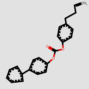 C=CCCc1ccc(OC(=O)Oc2ccc(-c3ccccc3)cc2)cc1